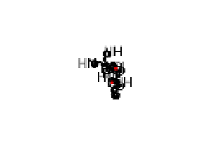 Cl.Cl.O=C(O)C(CNC(=O)[C@@H]1CCCN(C(=O)C(CCC2CCNCC2)CCC2CCNCC2)C1)NS(=O)(=O)c1ccc2ccccc2c1